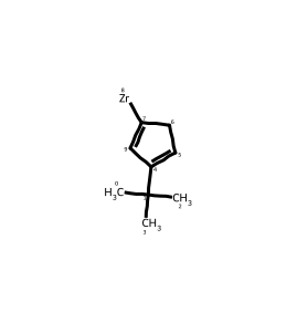 CC(C)(C)C1=CC[C]([Zr])=C1